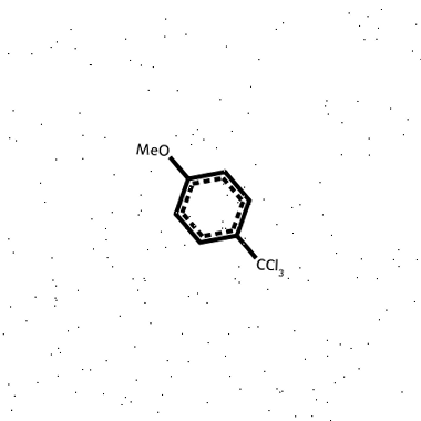 COc1ccc(C(Cl)(Cl)Cl)cc1